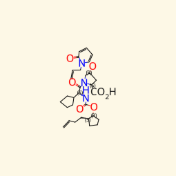 C=CCC[C@@H]1CCC[C@H]1OC(=O)N[C@H](C(=O)N1C[C@H](Oc2cccc(=O)n2CC=C)C[C@H]1C(=O)O)C1CCCC1